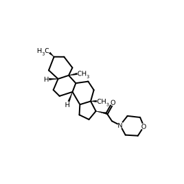 C[C@H]1CC[C@]2(C)C3CC[C@@]4(C)C(CC[C@@H]4C(=O)CN4CCOCC4)[C@@H]3CC[C@@H]2C1